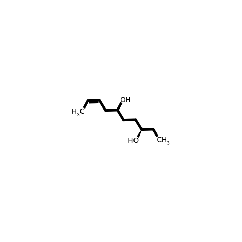 C/C=C\CC(O)CC[C@H](O)CC